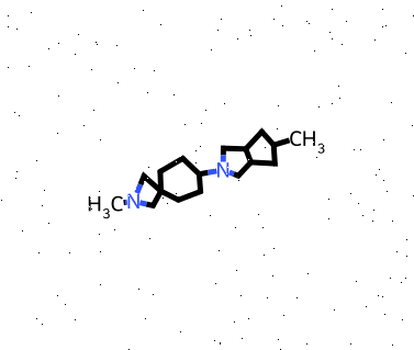 CC1CC2CN(C3CCC4(CC3)CN(C)C4)CC2C1